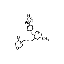 CCCN(CCCCN1CCOCCC1=O)C(C)Cc1ccc(S(C)(=O)=O)cc1